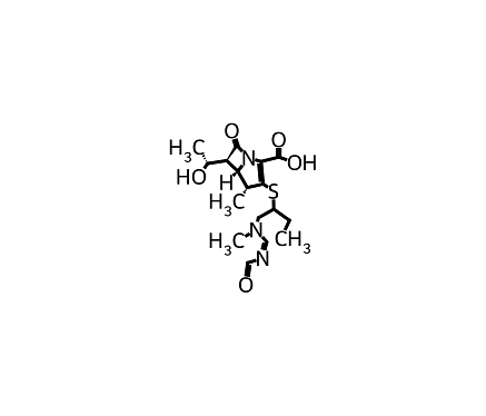 CCC(CN(C)/C=N\C=O)SC1=C(C(=O)O)N2C(=O)[C@H]([C@@H](C)O)[C@H]2[C@H]1C